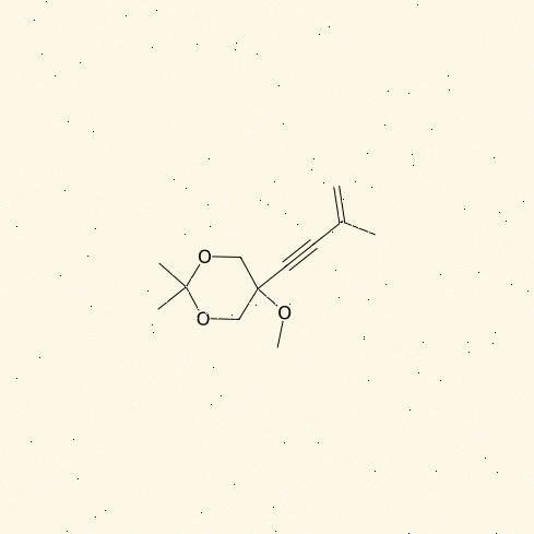 C=C(C)C#CC1(OC)COC(C)(C)OC1